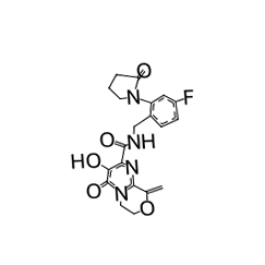 C=C1OCCn2c1nc(C(=O)NCc1ccc(F)cc1N1CCCC1=O)c(O)c2=O